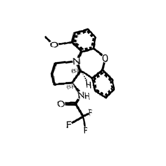 COc1cccc2c1N1CCC[C@H](NC(=O)C(F)(F)F)[C@@H]1c1ccccc1O2